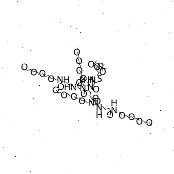 COCCOCCOCCOCCNC(=O)CCCNC(=O)CN(CCOCCOCCOCCOC)C(=O)CCC(NC(=O)C(N)CSCC(COC(C)=O)OC(C)=O)C(=O)N(CCOCCOCCOCCOC)CC(=O)NCCCC(=O)NCCOCCOCCOCCOC